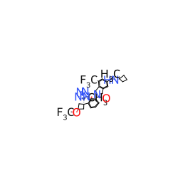 Cn1nnnc1[C@]1(c2cccc(N3Cc4c(cc(CNC5(C)CCC5)cc4C(F)(F)F)C3=O)c2)C[C@@H](OC(F)(F)F)C1